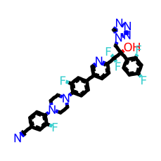 N#Cc1ccc(N2CCN(c3ccc(-c4ccc(C(F)(F)C(O)(Cn5cnnn5)c5ccc(F)cc5F)nc4)cc3F)CC2)c(F)c1